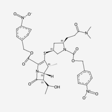 CC(O)[C@H]1C(=O)N2C(C(=O)OCc3ccc([N+](=O)[O-])cc3)=C(S[C@H]3C[C@@H](CCC(=O)N(C)C)N(C(=O)OCc4ccc([N+](=O)[O-])cc4)C3)[C@H](C)[C@H]12